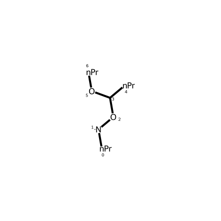 CCC[N]OC(CCC)OCCC